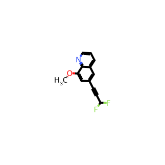 COc1cc(C#CC(F)F)cc2cccnc12